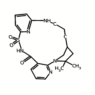 CC1(C)CC2CCCNc3cccc(n3)S(=O)(=O)NC(=O)c3cccnc3N1C2